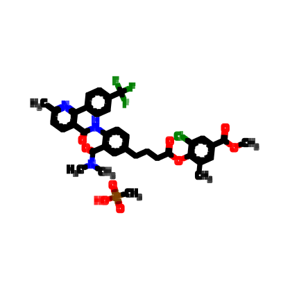 COC(=O)c1cc(C)c(OC(=O)CCCc2ccc(NC(=O)c3ccc(C)nc3-c3ccc(C(F)(F)F)cc3)c(C(=O)N(C)C)c2)c(Cl)c1.CS(=O)(=O)O